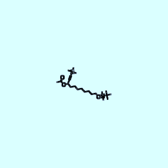 CC(=O)OC(C#C[Si](C)(C)C)CCCCCCCCO[Si](C)(C)C(C)(C)C